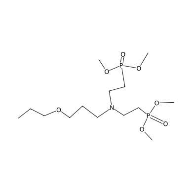 CCCOCCCN(CCP(=O)(OC)OC)CCP(=O)(OC)OC